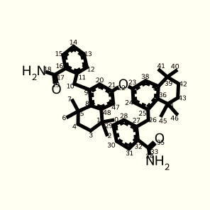 CC1(C)CCC(C)(C)c2c(Cc3ccccc3C(N)=O)cc(Oc3cc(Cc4ccccc4C(N)=O)c4c(c3)C(C)(C)CCC4(C)C)cc21